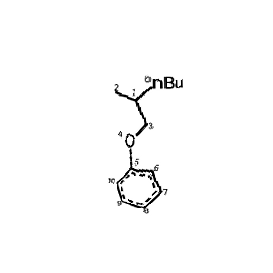 CCCCC(C)COc1ccccc1